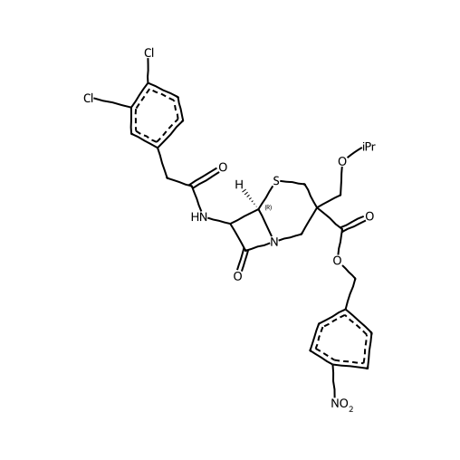 CC(C)OCC1(C(=O)OCc2ccc([N+](=O)[O-])cc2)CS[C@@H]2C(NC(=O)Cc3ccc(Cl)c(Cl)c3)C(=O)N2C1